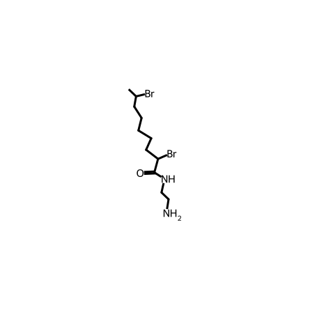 CC(Br)CCCCCC(Br)C(=O)NCCN